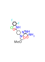 COC(C)CN(C(=O)c1nc[nH]c1C(N)=O)[C@H]1CC[C@H](C(=O)Nc2c(F)cc(F)cc2Cl)CC1